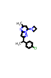 Cc1cc(N2CCC2)n2nc(C(C)c3ccc(Cl)cc3)cc2n1